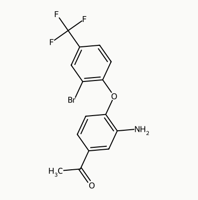 CC(=O)c1ccc(Oc2ccc(C(F)(F)F)cc2Br)c(N)c1